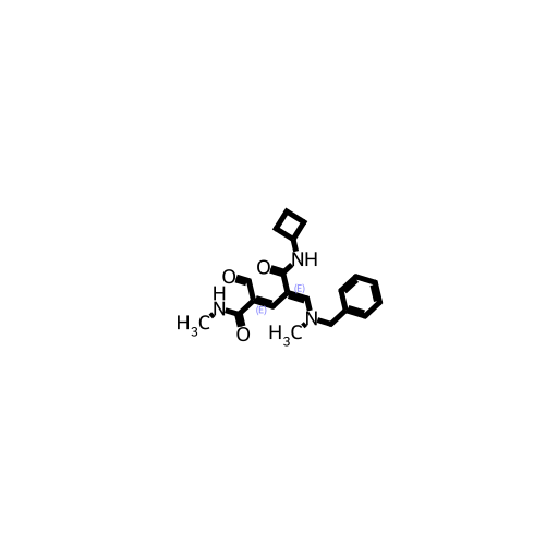 CNC(=O)/C(C=O)=C/C(=C\N(C)Cc1ccccc1)C(=O)NC1CCC1